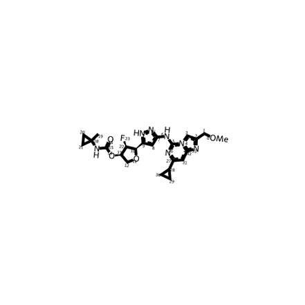 COCc1cn2c(Nc3cc([C@H]4OC[C@@H](OC(=O)NC5(C)CC5)[C@H]4F)[nH]n3)nc(C3CC3)cc2n1